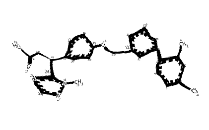 Cc1cc(Cl)ccc1-c1cccc(COc2ccc([C@H](CC(=O)O)c3ncnn3C)cc2)c1